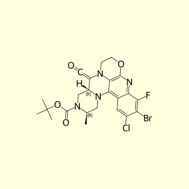 C[C@@H]1CN2c3c4c(nc5c(F)c(Br)c(Cl)cc35)OCCN4C(=C=O)[C@H]2CN1C(=O)OC(C)(C)C